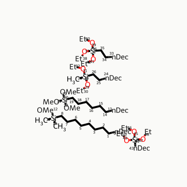 CCCCCCCCCCCCCCCCCC[Si](C)(C)OC.CCCCCCCCCCCCCCCC[Si](OC)(OC)OC.CCCCCCCCCCCC[Si](C)(OCC)OCC.CCCCCCCCCCCC[Si](OCC)(OCC)OCC.CCCCCCCCCC[Si](OCC)(OCC)OCC